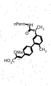 CCCCCNC(=O)N(C)c1ccc(C)c(-c2ccc(/C=C(\OC)C(=O)O)cc2)c1